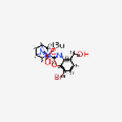 CC(C)(C)OC(=O)N1C2CC1CN(c1nc3c(CO)ccc(Br)c3o1)C2